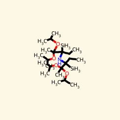 CCC([SiH3])(NC([SiH3])(CC)C(C)(OC(C)C)OC(C)C)C(C)(OC(C)C)OC(C)C